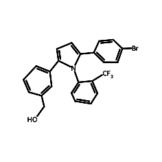 OCc1cccc(-c2ccc(-c3ccc(Br)cc3)n2-c2ccccc2C(F)(F)F)c1